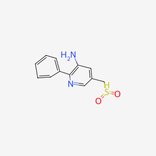 Nc1cc(C[SH](=O)=O)cnc1-c1ccccc1